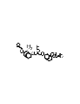 CC12CC(CCC1OCC(O)COC1CC3CCC(OCC4CO4)C(C)(C3)C1)CC(OCC1CO1)C2